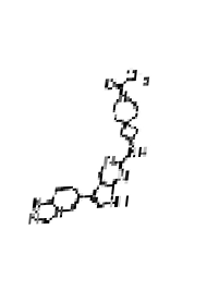 CC(=O)N1CCC2(CC1)CC(Nc1ncc3c(-c4ccc5nncn5c4)c[nH]c3n1)C2